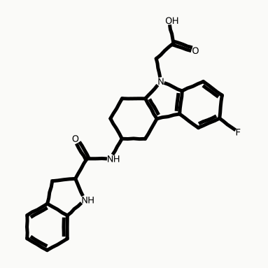 O=C(O)Cn1c2c(c3cc(F)ccc31)CC(NC(=O)C1Cc3ccccc3N1)CC2